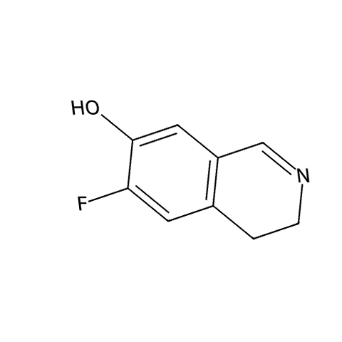 Oc1cc2c(cc1F)CCN=C2